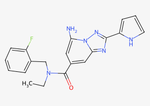 CCN(Cc1ccccc1F)C(=O)c1cc(N)n2nc(-c3ccc[nH]3)nc2c1